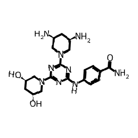 NC(=O)c1ccc(Nc2nc(N3C[C@H](N)C[C@H](N)C3)nc(N3C[C@H](O)C[C@@H](O)C3)n2)cc1